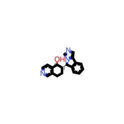 O[C@@H]1c2ccncc2CC[C@H]1C1c2ccccc2-c2cncn21